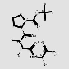 C[C@H](NC(=O)[C@H](C)N(C)C(=O)[C@@H]1CCCN1C(=O)OC(C)(C)C)C(=O)O